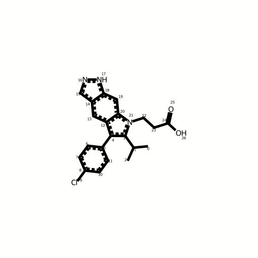 CC(C)c1c(-c2ccc(Cl)cc2)c2cc3cn[nH]c3cc2n1CCC(=O)O